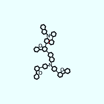 c1ccc(-c2ccccc2N(c2ccc(-c3cc(-c4ccc5ccc(N(c6ccc(-c7cccc8c7oc7ccccc78)cc6)c6ccc(-c7cccc8c7oc7ccccc78)cc6)cc5c4)cc4c3oc3ccccc34)cc2)c2ccc3ccccc3c2)cc1